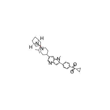 CC(C)CN1[C@@H]2CC[C@H]1CC(N1CCC(c3cnc4cc(-c5ccc(S(=O)(=O)C6CC6)cc5)n(C)c4c3)CC1)C2